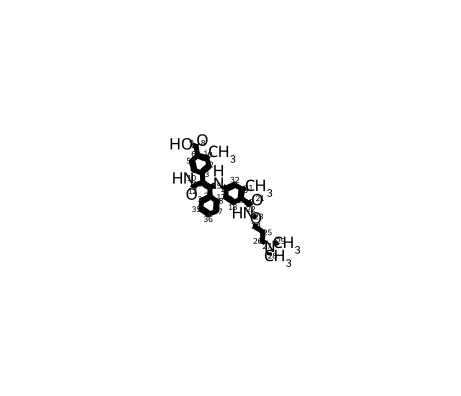 Cc1cc2c(cc1C(=O)O)NC(=O)C2=C(Nc1ccc(C(=O)NOCCCN(C)C)c(C)c1)c1ccccc1